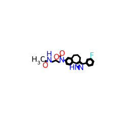 CC(=O)NCC1CN(c2ccc3c(c2)CCCc2c(-c4cccc(F)c4)n[nH]c2-3)C(=O)O1